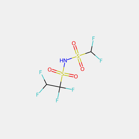 O=S(=O)(NS(=O)(=O)C(F)(F)C(F)F)C(F)F